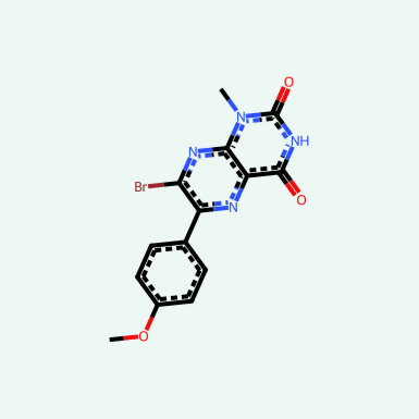 COc1ccc(-c2nc3c(=O)[nH]c(=O)n(C)c3nc2Br)cc1